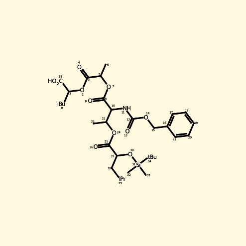 CCC(C)C(OC(=O)C(C)OC(=O)C(NC(=O)OCc1ccccc1)C(C)OC(=O)C(CC(C)C)O[Si](C)(C)C(C)(C)C)C(=O)O